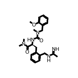 COc1ccccc1CN(C)C(=O)N[C@@H](Cc1ccccc1CNC(C)=N)C(=O)N(C)C